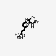 CC(C)Nc1c(C(C)C)nc2ccc(C=CC(=O)NO)cn12